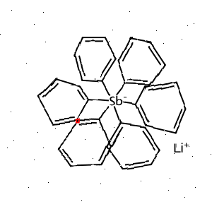 [Li+].c1cc[c]([Sb-]([c]2ccccc2)([c]2ccccc2)([c]2ccccc2)([c]2ccccc2)[c]2ccccc2)cc1